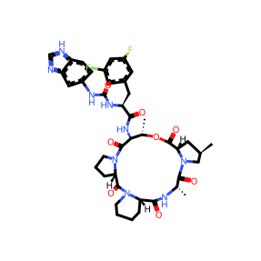 C[C@@H]1C[C@H]2C(=O)O[C@@H](C)[C@H](NC(=O)[C@H](Cc3cc(F)cc(F)c3)NC(=O)Nc3ccc4[nH]cnc4c3)C(=O)N3CCC[C@H]3C(=O)N3CCCC[C@H]3C(=O)N[C@@H](C)C(=O)N2C1